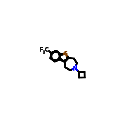 FC(F)(F)c1ccc2c3c(sc2c1)CCN(C1CCC1)CC3